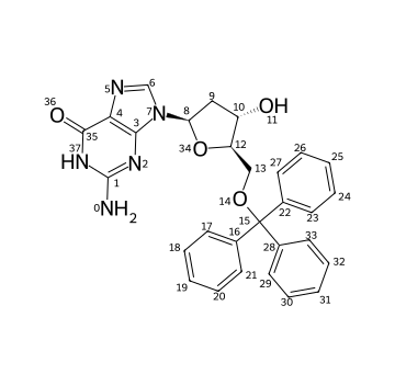 Nc1nc2c(ncn2[C@H]2C[C@H](O)[C@@H](COC(c3ccccc3)(c3ccccc3)c3ccccc3)O2)c(=O)[nH]1